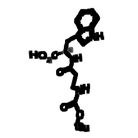 CC(C)(C)OC(=O)NCCC(=O)N[C@@H](Cc1c[nH]c2ccccc12)C(=O)O